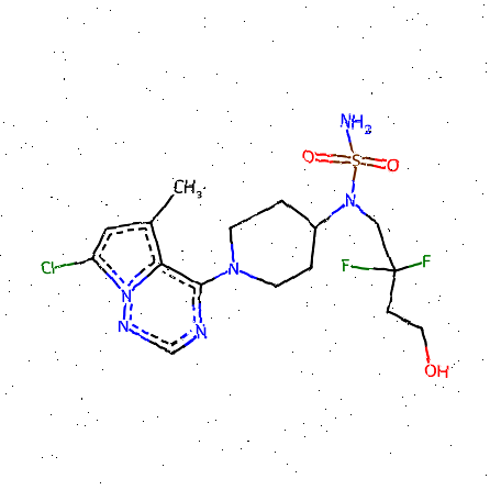 Cc1cc(Cl)n2ncnc(N3CCC(N(CC(F)(F)CCO)S(N)(=O)=O)CC3)c12